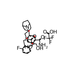 NC(=O)c1cccc(C2CC3CCC(C2)N3CCN(Cc2c(F)cccc2F)C(=O)[C@@H](O)CO)c1.O=C(O)C(F)(F)F